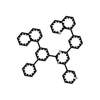 c1ccc(-c2cc(-c3nc(-c4cccnc4)cc(-c4cccc(-c5cccc6cccnc56)c4)n3)cc(-c3cccc4ccccc34)c2)cc1